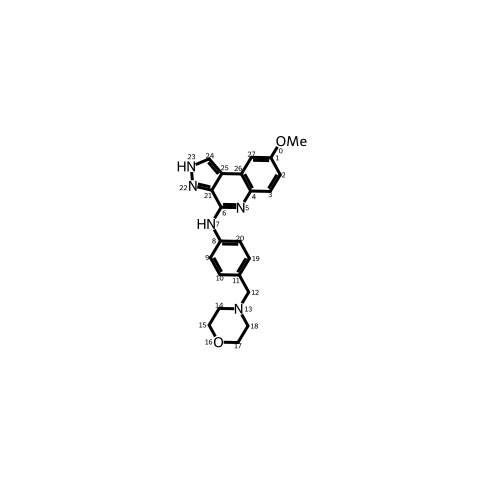 COc1ccc2nc(Nc3ccc(CN4CCOCC4)cc3)c3n[nH]cc3c2c1